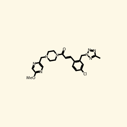 COc1cnc(CN2CCN(C(=O)/C=C/c3ccc(Cl)cc3Cn3nnc(C)n3)CC2)cn1